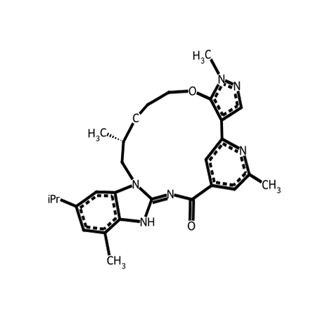 Cc1cc2cc(n1)-c1cnn(C)c1OCCC[C@@H](C)CN1/C(=N/C2=O)Nc2c(C)cc(C(C)C)cc21